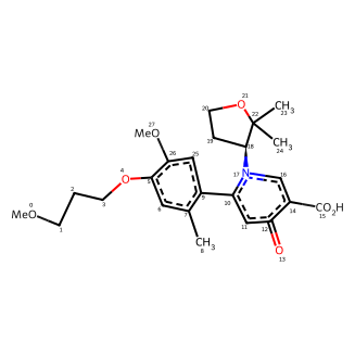 COCCCOc1cc(C)c(-c2cc(=O)c(C(=O)O)cn2[C@H]2CCOC2(C)C)cc1OC